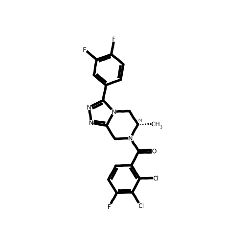 C[C@H]1Cn2c(nnc2-c2ccc(F)c(F)c2)CN1C(=O)c1ccc(F)c(Cl)c1Cl